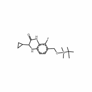 CC(C)(C)[Si](C)(C)OCc1ccc2c(c1F)NC(=O)C(C1CC1)N2